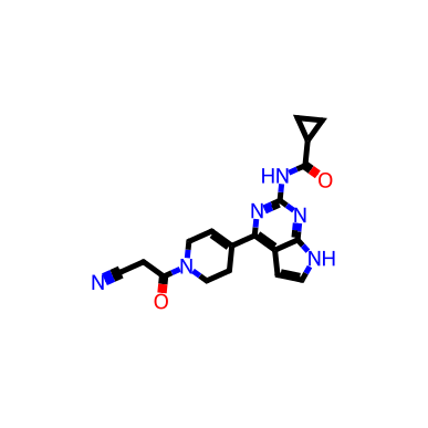 N#CCC(=O)N1CC=C(c2nc(NC(=O)C3CC3)nc3[nH]ccc23)CC1